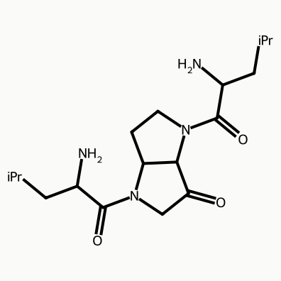 CC(C)CC(N)C(=O)N1CC(=O)C2C1CCN2C(=O)C(N)CC(C)C